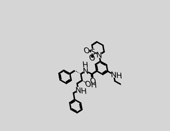 CCNc1cc(C(=O)N[C@@H](Cc2ccccc2)[C@H](O)CNCc2ccccc2)cc(N2CCCCS2(=O)=O)c1